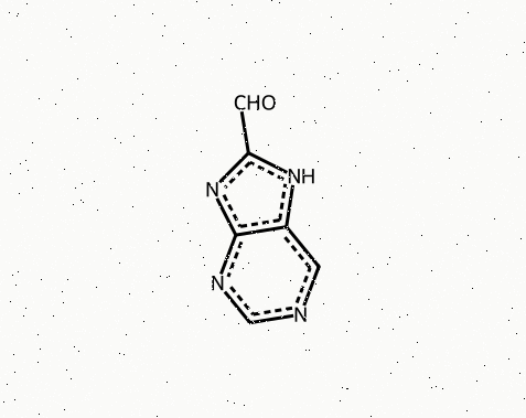 O=Cc1nc2ncncc2[nH]1